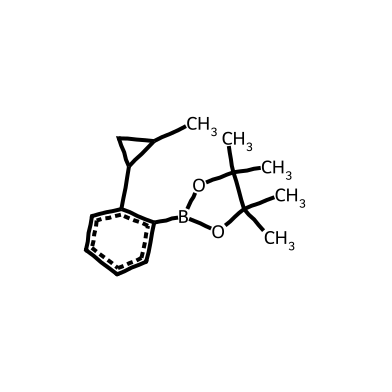 CC1CC1c1ccccc1B1OC(C)(C)C(C)(C)O1